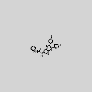 O=C(Nc1cccnc1)Nc1cnc2nc(-c3ccc(F)cc3)c(-c3ccc(F)cc3)nc2c1